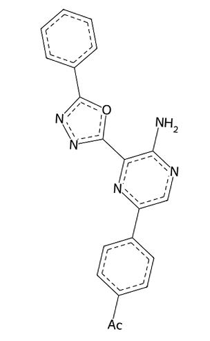 CC(=O)c1ccc(-c2cnc(N)c(-c3nnc(-c4ccccc4)o3)n2)cc1